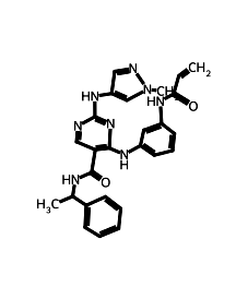 C=CC(=O)Nc1cccc(Nc2nc(Nc3cnn(C)c3)ncc2C(=O)NC(C)c2ccccc2)c1